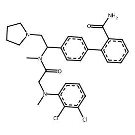 CN(CC(=O)N(C)C(CN1CCCC1)c1ccc(-c2ccccc2C(N)=O)cc1)c1cccc(Cl)c1Cl